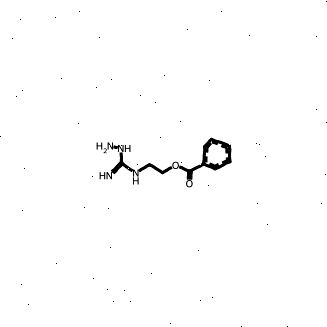 N=C(NN)NCCOC(=O)c1ccccc1